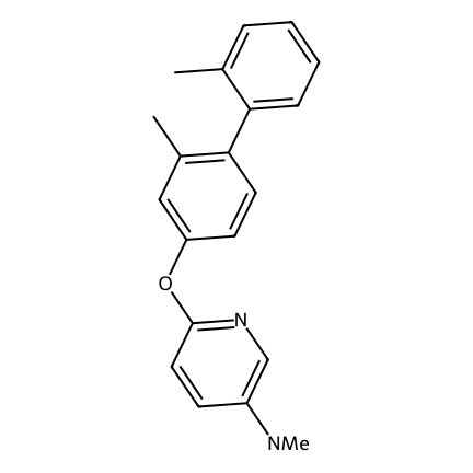 CNc1ccc(Oc2ccc(-c3ccccc3C)c(C)c2)nc1